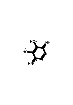 N=C1C=CC(=N)C(O)=C1O